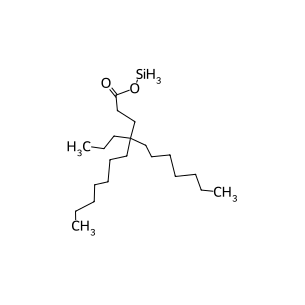 CCCCCCCC(CCC)(CCCCCCC)CCC(=O)O[SiH3]